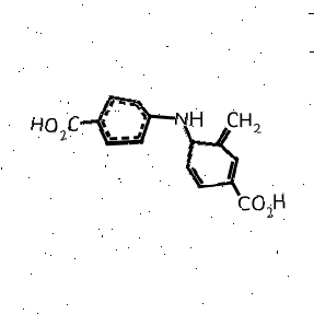 C=C1C=C(C(=O)O)C=CC1Nc1ccc(C(=O)O)cc1